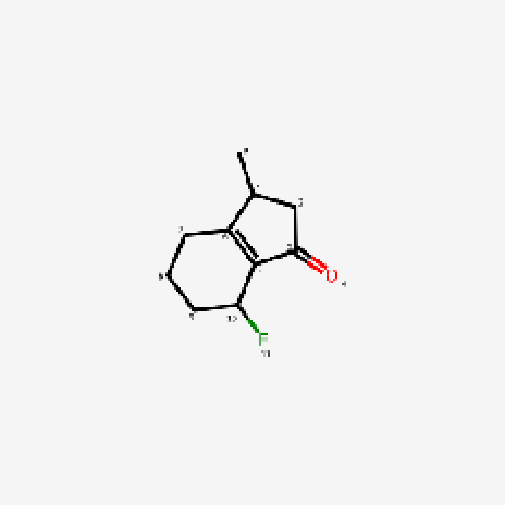 CC1CC(=O)C2=C1CCCC2F